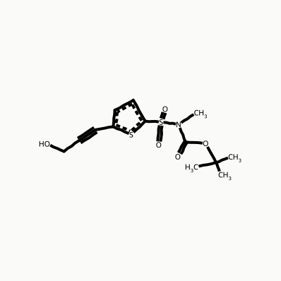 CN(C(=O)OC(C)(C)C)S(=O)(=O)c1ccc(C#CCO)s1